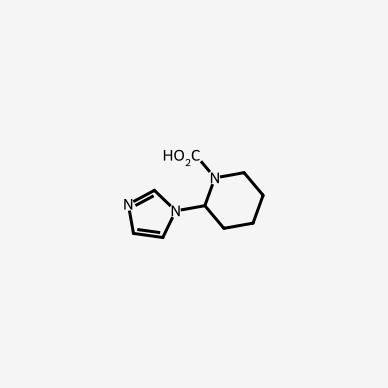 O=C(O)N1CCCCC1n1ccnc1